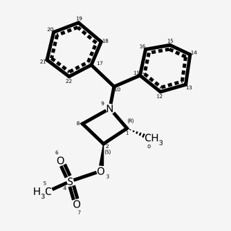 C[C@@H]1[C@@H](OS(C)(=O)=O)CN1C(c1ccccc1)c1ccccc1